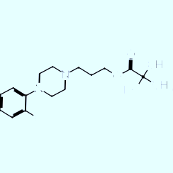 CC(C)(C)C(=O)OCCCN1CCN(c2ccccc2Cl)CC1